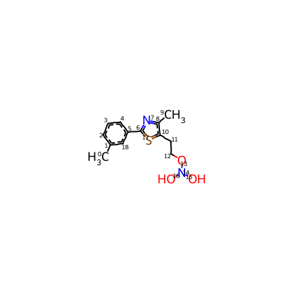 Cc1cccc(-c2nc(C)c(CCON(O)O)s2)c1